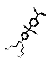 CCCCN(CCCC)c1ccc(C(C#N)(C#N)c2ccc(C(C#N)C#N)cc2)cc1